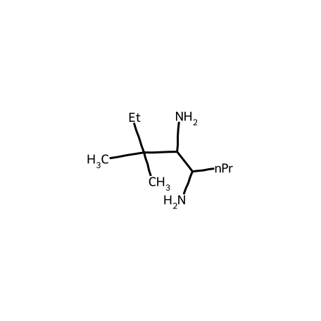 CCCC(N)C(N)C(C)(C)CC